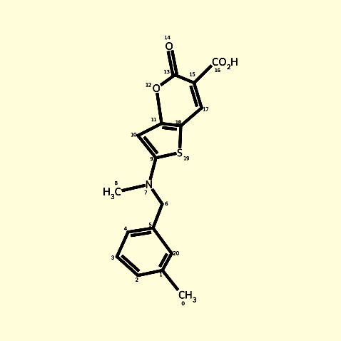 Cc1cccc(CN(C)c2cc3oc(=O)c(C(=O)O)cc3s2)c1